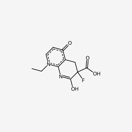 CCn1ccc(=O)c2c1N=C(O)C(F)(C(=O)O)C2